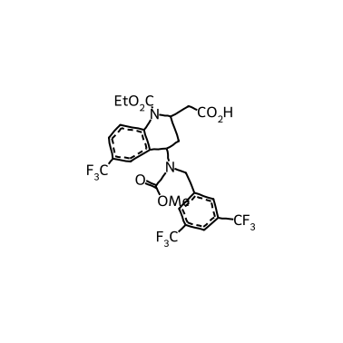 CCOC(=O)N1c2ccc(C(F)(F)F)cc2C(N(Cc2cc(C(F)(F)F)cc(C(F)(F)F)c2)C(=O)OC)CC1CC(=O)O